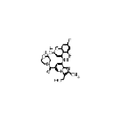 CCCC(Nc1cc(C(=O)N2CCOCC2)cn2c(CO)c(C)nc12)c1c(C)cc(F)cc1F